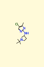 Cc1nc(NC2CCN(C(C)(C)C)C2)ncc1Cl